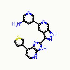 Nc1cncc(-c2cc3c(-c4nc5c(-c6ccsc6)ccnc5[nH]4)n[nH]c3cn2)c1